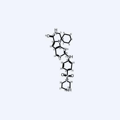 O=C1NCC2(CCCCC2)n2c1cc1cnc(Nc3ccc(S(=O)(=O)N4CCNCC4)cc3)nc12